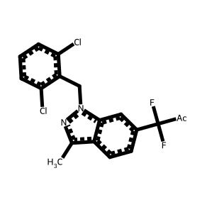 CC(=O)C(F)(F)c1ccc2c(C)nn(Cc3c(Cl)cccc3Cl)c2c1